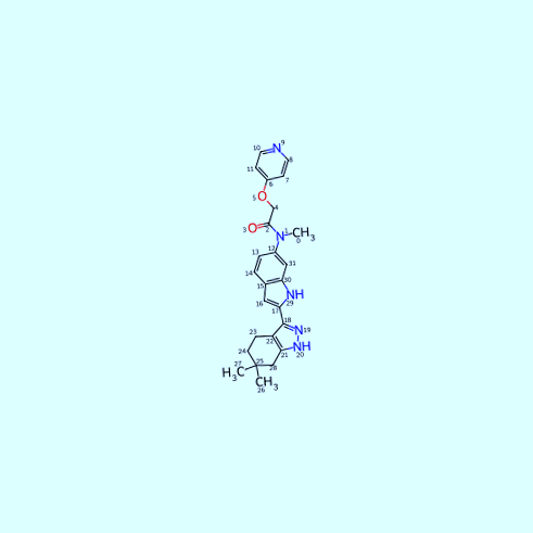 CN(C(=O)COc1ccncc1)c1ccc2cc(-c3n[nH]c4c3CCC(C)(C)C4)[nH]c2c1